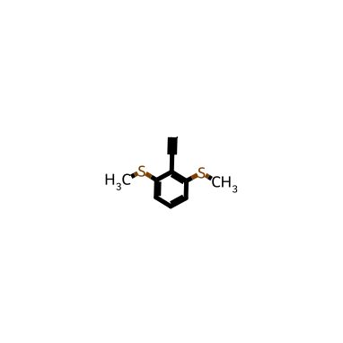 [C]#Cc1c(SC)cccc1SC